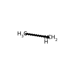 C=CCNCCCCCCCCCCCCCCCCCCC